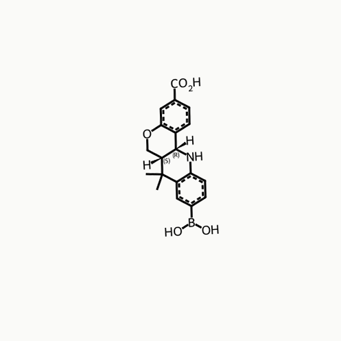 CC1(C)c2cc(B(O)O)ccc2N[C@H]2c3ccc(C(=O)O)cc3OC[C@H]21